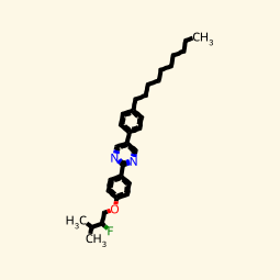 CCCCCCCCCCc1ccc(-c2cnc(-c3ccc(OCC(F)C(C)C)cc3)nc2)cc1